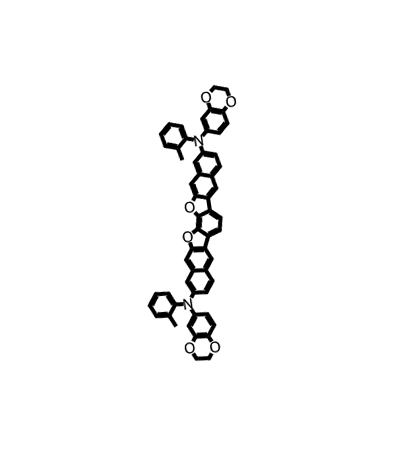 Cc1ccccc1N(c1ccc2c(c1)OCCO2)c1ccc2cc3c(cc2c1)oc1c3ccc2c3cc4ccc(N(c5ccc6c(c5)OCCO6)c5ccccc5C)cc4cc3oc21